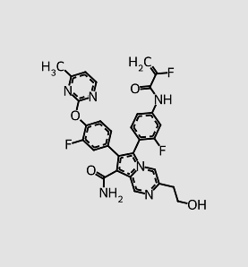 C=C(F)C(=O)Nc1ccc(-c2c(-c3ccc(Oc4nccc(C)n4)c(F)c3)c(C(N)=O)c3cnc(CCO)cn23)c(F)c1